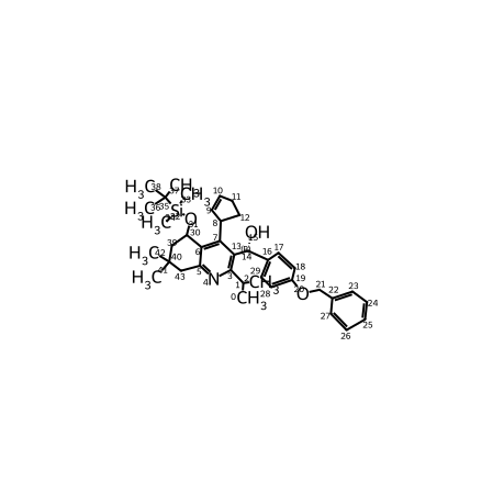 CC(C)c1nc2c(c(C3C=CCC3)c1[C@H](O)c1ccc(OCc3ccccc3)cc1)C(O[Si](C)(C)C(C)(C)C)CC(C)(C)C2